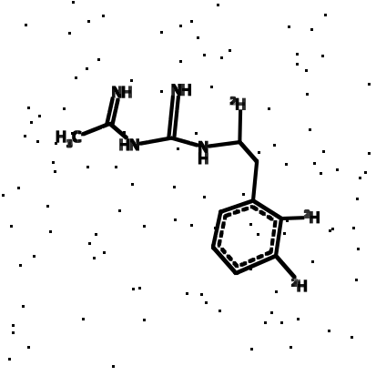 [2H]c1cccc(CC([2H])NC(=N)NC(C)=N)c1[2H]